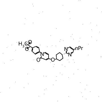 CCCc1cnc([C@H]2CC[C@H](Oc3ccn(-c4ccc(S(C)(=O)=O)cc4)c(=O)c3)CC2)nc1